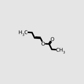 CCC=COC(=O)CC